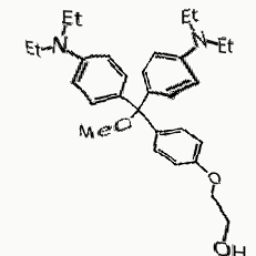 CCN(CC)c1ccc(C(OC)(c2ccc(OCCO)cc2)c2ccc(N(CC)CC)cc2)cc1